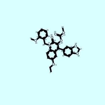 CCOc1ccc2c(c1)c(-c1ccc3c(c1)OCO3)c(OC(=O)OC)c(=O)n2Cc1ccccc1OC